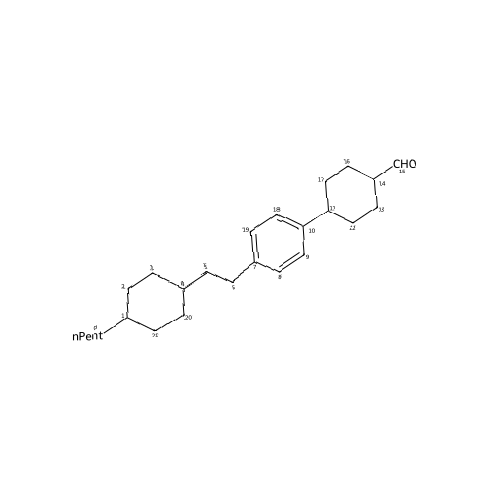 CCCCCC1CCC(CCc2ccc(C3CCC(C=O)CC3)cc2)CC1